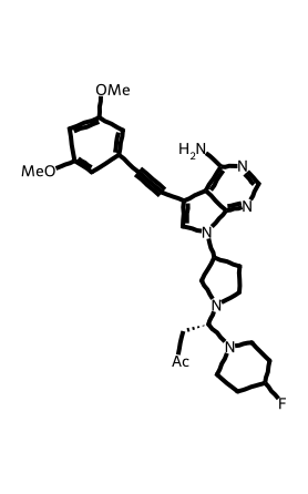 COc1cc(C#Cc2cn(C3CCN([C@@H](CC(C)=O)N4CCC(F)CC4)C3)c3ncnc(N)c23)cc(OC)c1